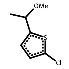 [CH2]C(OC)c1ccc(Cl)s1